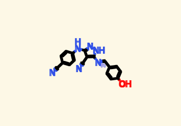 N#Cc1ccc(Nc2n[nH]c(/N=C/c3ccc(O)cc3)c2C#N)cc1